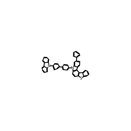 c1ccc(-c2ccc3c4c5c(ccc4n(-c4ccc(-c6ccc(-n7c8ccccc8c8ccccc87)cc6)cc4)c3c2)sc2ccccc25)cc1